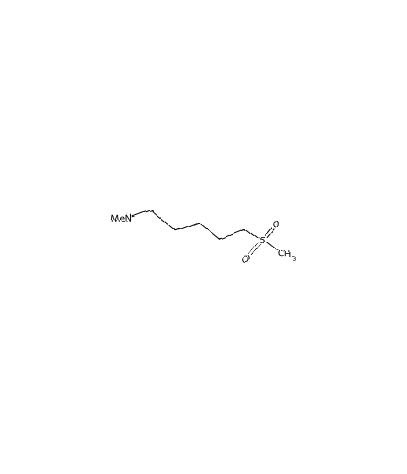 CNCCCCCS(C)(=O)=O